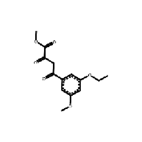 CCOc1cc(OC)cc(C(=O)CC(=O)C(=O)OC)c1